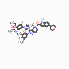 CCP(=O)(CC)c1cc(F)c(-n2ccn(-c3c4c(nn3-c3cc(C)c(F)c(C)c3)CCN(C(=O)c3cc5cc(C6CCOCC6)ccc5[nH]3)[C@H]4C)c2=O)cc1NC